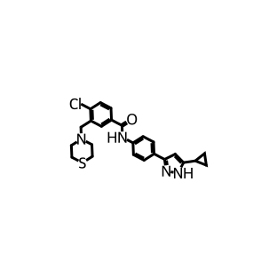 O=C(Nc1ccc(-c2cc(C3CC3)[nH]n2)cc1)c1ccc(Cl)c(CN2CCSCC2)c1